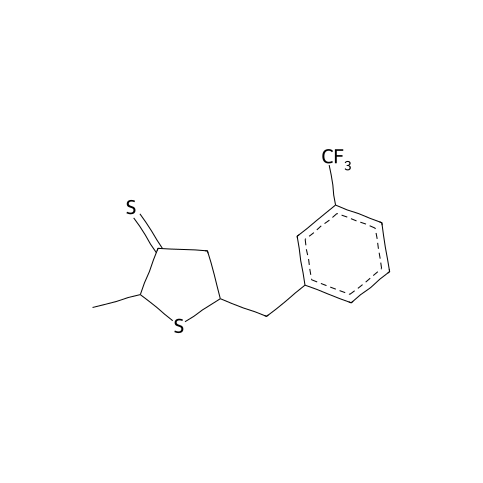 CC1SC(Cc2cccc(C(F)(F)F)c2)CC1=S